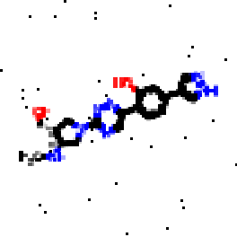 CN[C@@H]1CN(c2ncc(-c3ccc(-c4cn[nH]c4)cc3O)nn2)C[C@H]1CO